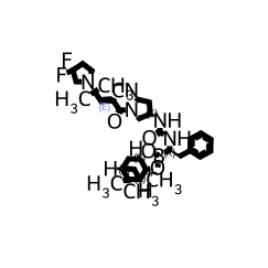 CC1(C)[C@@H]2C[C@H]3OB([C@H](Cc4ccccc4)NC(=O)N[C@H]4CCN(C(=O)/C(C#N)=C/C(C)(C)N5CCC(F)(F)C5)C4)O[C@@]3(C)[C@H]1C2